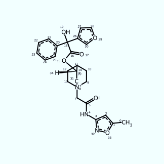 Cc1cc(NC(=O)C[N+]23CCC(CC2)[C@@H](OC(=O)C(O)(c2ccccc2)c2ccoc2)C3)no1